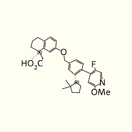 COc1cc(-c2ccc(COc3ccc4c(c3)[C@@](C)(CC(=O)O)CCC4)cc2[C@@H]2CCCC2(C)C)c(F)cn1